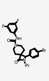 CC(C)N1C(=O)C2(CCN(C(=O)Nc3cc(F)cc(F)c3)CC2)C1c1ccc(Br)cc1